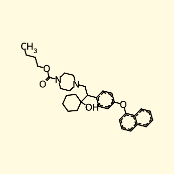 CCCCOC(=O)N1CCN(CC(c2ccc(Oc3cccc4ccccc34)cc2)C2(O)CCCCC2)CC1